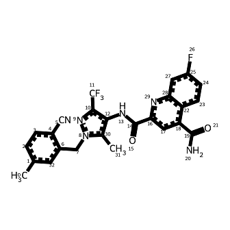 Cc1ccc(C#N)c(Cn2nc(C(F)(F)F)c(NC(=O)c3cc(C(N)=O)c4ccc(F)cc4n3)c2C)c1